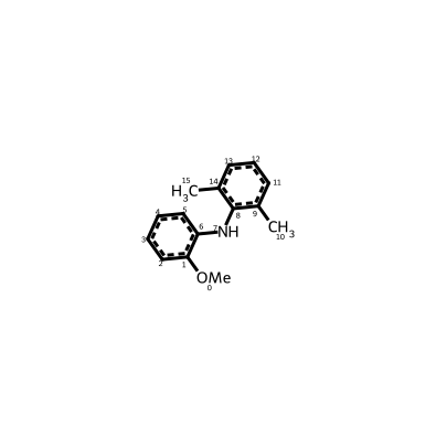 COc1ccccc1Nc1c(C)cccc1C